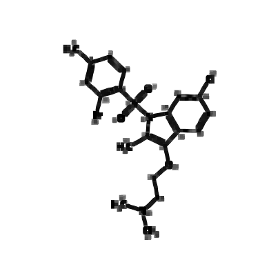 Cc1ccc(S(=O)(=O)n2c(C)c(OCCN(C)C)c3ccc(Cl)cc32)c(Br)c1